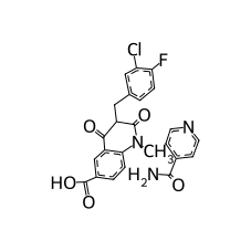 CN1C(=O)C(Cc2ccc(F)c(Cl)c2)C(=O)c2cc(C(=O)O)ccc21.NC(=O)c1ccncc1